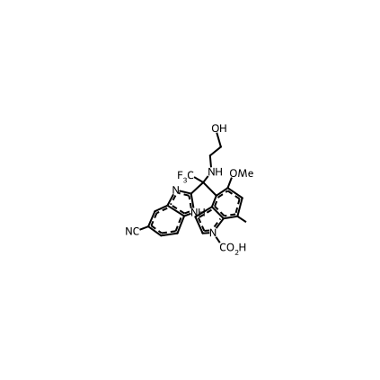 COc1cc(C)c2c(ccn2C(=O)O)c1C(NCCO)(c1nc2cc(C#N)ccc2[nH]1)C(F)(F)F